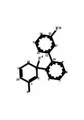 CC1=CC(F)(c2ccccc2-c2cccc(F)c2)CC=C1